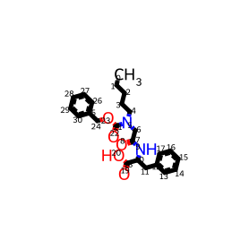 CCCCCN(CC(=O)NC(Cc1ccccc1)C(=O)O)C(=O)OCc1ccccc1